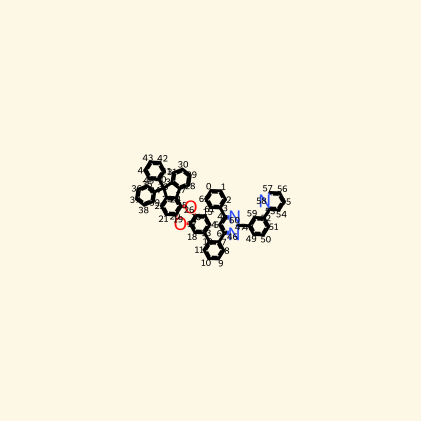 c1ccc(-c2cc(-c3ccccc3-c3ccc4c(c3)Oc3ccc5c(c3O4)-c3ccccc3C5(c3ccccc3)c3ccccc3)nc(-c3cccc(-c4ccccn4)c3)n2)cc1